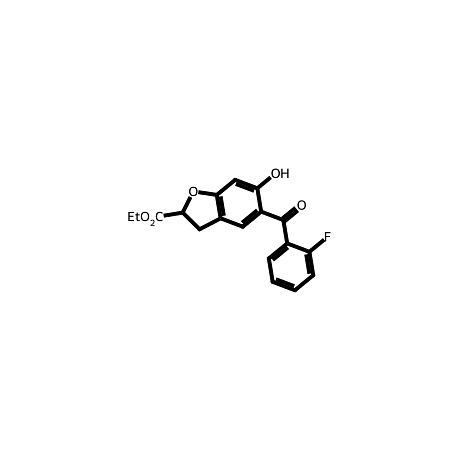 CCOC(=O)C1Cc2cc(C(=O)c3ccccc3F)c(O)cc2O1